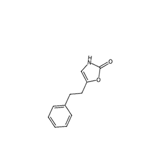 O=c1[nH]cc(CCc2ccccc2)o1